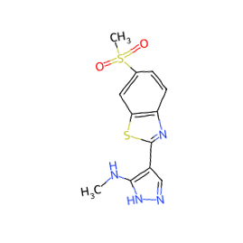 CNc1[nH]ncc1-c1nc2ccc(S(C)(=O)=O)cc2s1